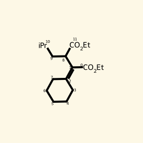 CCOC(=O)C(=C1CCCCC1)C(CC(C)C)C(=O)OCC